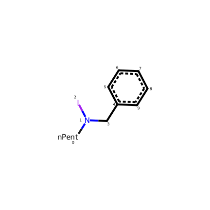 CCCCCN(I)Cc1ccccc1